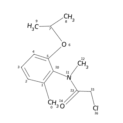 Cc1cccc(OC(C)C)c1N(C)C(=O)CCl